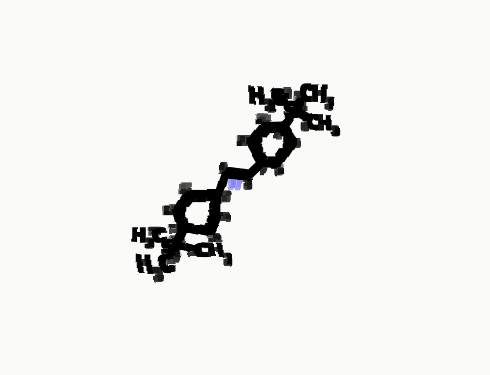 C[Si](C)(C)c1ccc(/C=C/c2ccc([Si](C)(C)C)cc2)cc1